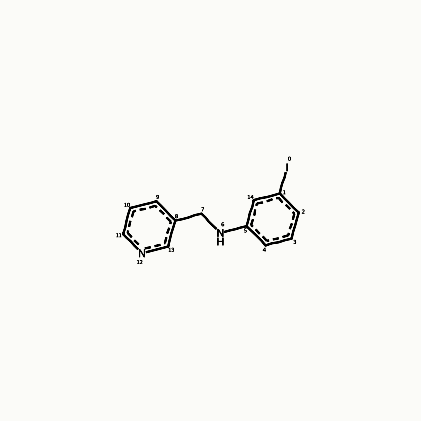 Ic1cccc(NCc2cccnc2)c1